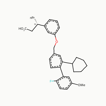 CCC[C@@H](CC(=O)O)c1cccc(OCc2ccc(-c3cc(OC)ccc3F)c(C3CCCCC3)c2)c1